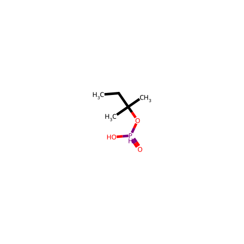 CCC(C)(C)O[PH](=O)O